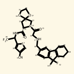 N#Cc1csc(C(NC(=O)[C@@H]2CC3(CN2C(=O)CNCc2ccc4c(c2)C2=C(CCC=C2)C4(F)I)OCCO3)C(F)(F)F)c1